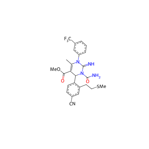 COC(=O)C1=C(C)N(c2cccc(C(F)(F)F)c2)C(=N)N(C(N)=O)C1c1ccc(C#N)cc1CCSC